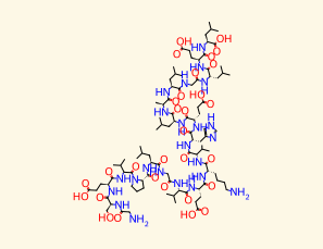 CC(C)C[C@H](NC(=O)[C@H](CCC(=O)O)NC(=O)[C@H](CC(C)C)NC(=O)CNC(=O)[C@H](CC(C)C)NC(=O)[C@H](C)NC(=O)[C@H](CC(C)C)NC(=O)[C@H](CCC(=O)O)NC(=O)[C@H](Cc1c[nH]cn1)NC(=O)[C@@H](NC(=O)[C@H](CCCCN)NC(=O)[C@H](CCC(=O)O)NC(=O)[C@@H](NC(=O)CNC(=O)[C@H](CC(C)C)NC(=O)[C@@H]1CCCN1C(=O)[C@@H](NC(=O)[C@H](CCC(=O)O)NC(=O)[C@H](CO)NC(=O)CN)C(C)C)C(C)C)C(C)C)C(=O)O